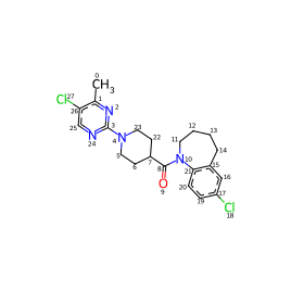 Cc1nc(N2CCC(C(=O)N3CCCCc4cc(Cl)ccc43)CC2)ncc1Cl